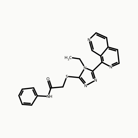 CCn1c(SCC(=O)Nc2ccccc2)nnc1-c1nccc2ccncc12